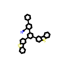 N#Cc1cc(-c2ccccc2)ccc1-c1cc(-c2ccc3sc4ccccc4c3c2)cc(-c2ccc3sc4ccccc4c3c2)c1